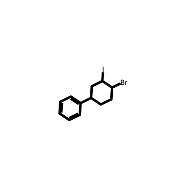 BrC1CCC(c2ccccc2)CC1I